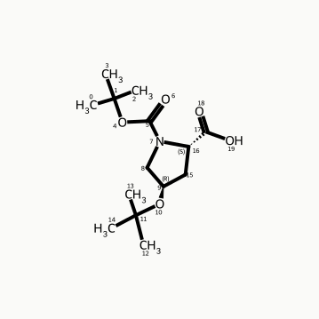 CC(C)(C)OC(=O)N1C[C@H](OC(C)(C)C)C[C@H]1C(=O)O